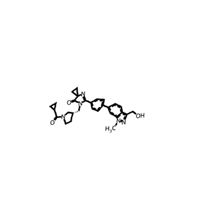 Cn1nc(CO)c2ccc(-c3ccc(C4=NC5(CC5)C(=O)N4C[C@@H]4CCN(C(=O)C5CC5)C4)cc3)cc21